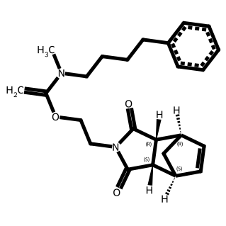 C=C(OCCN1C(=O)[C@@H]2[C@H](C1=O)[C@H]1C=C[C@@H]2C1)N(C)CCCCc1ccccc1